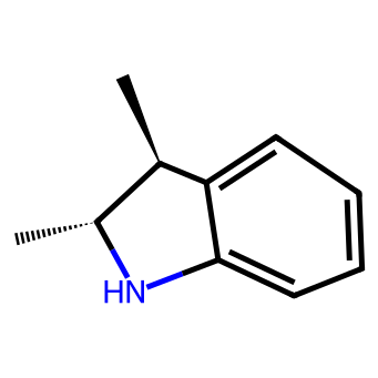 C[C@H]1Nc2ccccc2[C@@H]1C